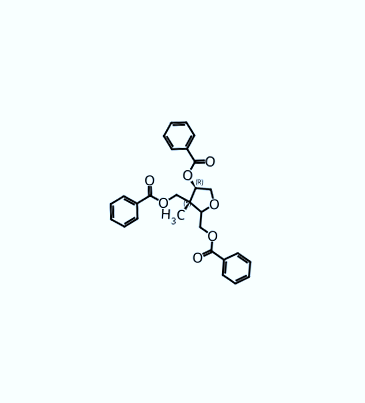 C[C@]1(COC(=O)c2ccccc2)C(COC(=O)c2ccccc2)OC[C@@H]1OC(=O)c1ccccc1